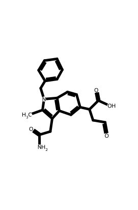 Cc1c(CC(N)=O)c2cc(C(CC=O)C(=O)O)ccc2n1Cc1ccccc1